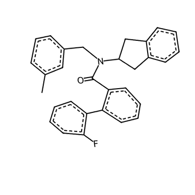 Cc1cccc(CN(C(=O)c2ccccc2-c2ccccc2F)C2Cc3ccccc3C2)c1